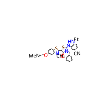 CCNc1ccc(C#N)cc1/N=C1/S/C(=C2\Sc3ccc(OCCNC)cc3N2C)C(=O)N1Cc1ccccc1